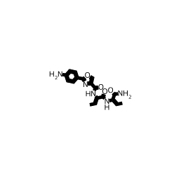 C/C=C(\NC(=O)c1coc(-c2ccc(N)cc2)n1)C(=O)N/C(=C/C)C(N)=O